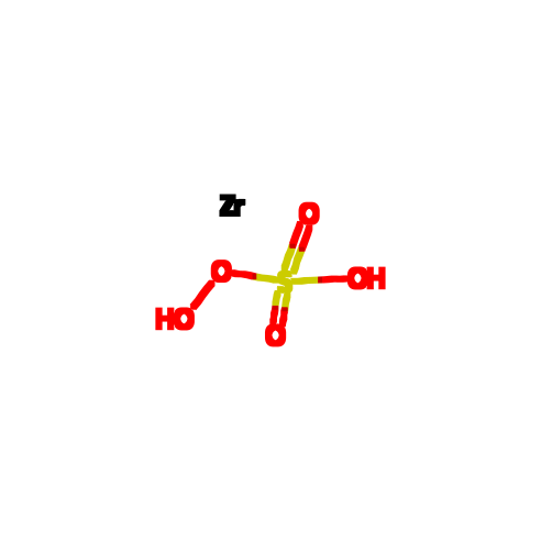 O=S(=O)(O)OO.[Zr]